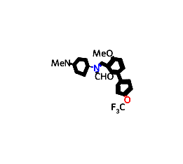 CN[C@H]1CC[C@H](N(C=O)Cc2cc(-c3ccc(OC(F)(F)F)cc3)ccc2OC)CC1